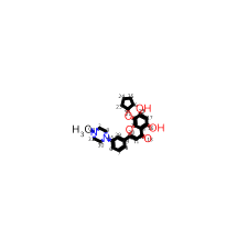 CN1CCN(c2cccc(-c3cc(=O)c4c(O)cc(O)c(OC5CCCC5)c4o3)c2)CC1